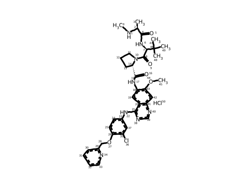 CN[C@@H](C)C(=O)N[C@H](C(=O)N1CCC[C@H]1C(=O)Nc1cc2c(Nc3ccc(OCc4ccccn4)c(Cl)c3)ncnc2cc1OC)C(C)(C)C.Cl